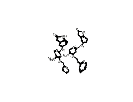 COc1cnc(Nc2ccc3c(c2)CC(=O)N3)nc1NCCc1ccccn1.COc1cnc(Nc2ccc3c(c2)CC(=O)N3)nc1NCc1ccccn1